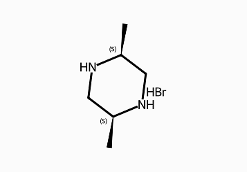 Br.C[C@H]1CN[C@@H](C)CN1